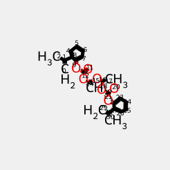 C=C(C)c1ccccc1OC(=O)OC(C)OC(C)OC(=O)Oc1ccccc1C(=C)C